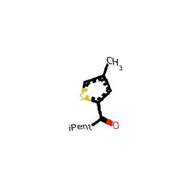 CCCC(C)C(=O)c1cc(C)cs1